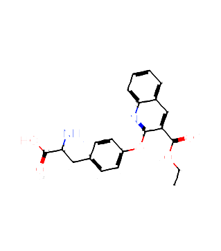 CCOC(=O)c1cc2ccccc2nc1Oc1ccc(CC(N)C(=O)O)cc1